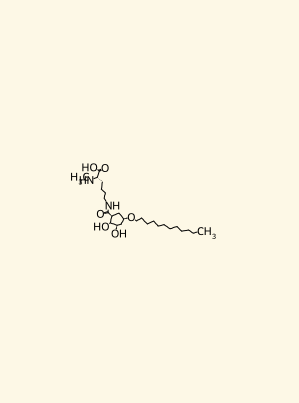 CCCCCCCCCCCCO[C@H]1C[C@@H](O)[C@H](O)[C@@H](C(=O)NCCCC[C@H](NC)C(=O)O)C1